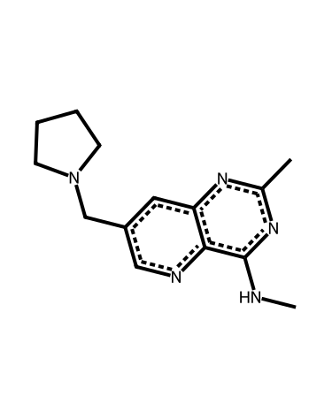 CNc1nc(C)nc2cc(CN3CCCC3)cnc12